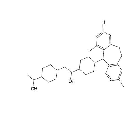 Cc1ccc2c(c1)CCc1cc(Cl)cc(C)c1C2C1CCC(C(O)CC2CCC(C(C)O)CC2)CC1